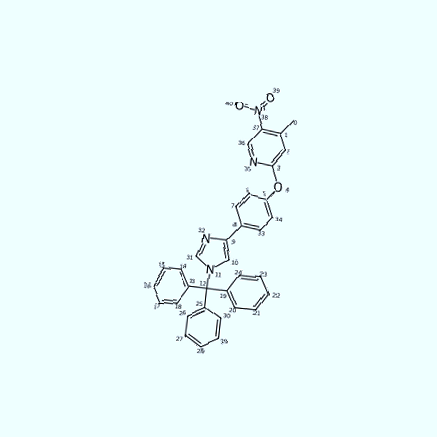 Cc1cc(Oc2ccc(-c3cn(C(c4ccccc4)(c4ccccc4)c4ccccc4)cn3)cc2)ncc1[N+](=O)[O-]